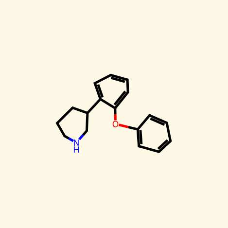 c1ccc(Oc2ccccc2C2CCCNC2)cc1